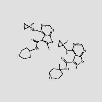 Cc1oc2ncnc(NC3(C)CC3)c2c1C(=O)NC1(C)CCOCC1.Cc1oc2ncnc(NC3(C)CC3)c2c1C(=O)NC1CCOCC1